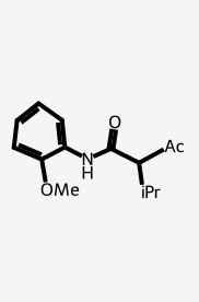 COc1ccccc1NC(=O)C(C(C)=O)C(C)C